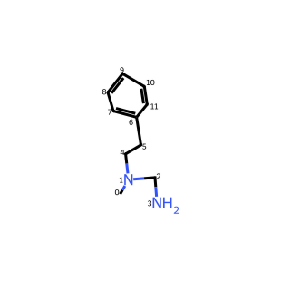 CN(CN)CCc1ccccc1